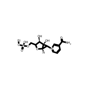 CCOP(=O)(O)OCC1O[C@H]2C([n+]3cccc(C(N)=O)c3)[C@@]2(O)[C@@H]1O